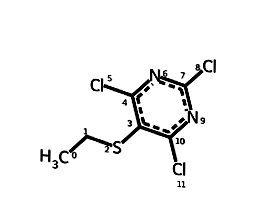 CCSc1c(Cl)nc(Cl)nc1Cl